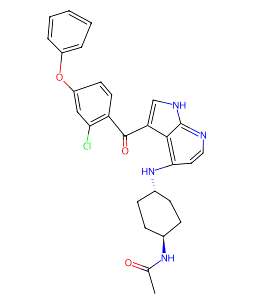 CC(=O)N[C@H]1CC[C@H](Nc2ccnc3[nH]cc(C(=O)c4ccc(Oc5ccccc5)cc4Cl)c23)CC1